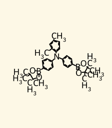 Cc1ccc(N(c2ccc(B3OC(C)(C)C(C)(C)O3)cc2)c2ccc(B3OC(C)(C)C(C)(C)O3)cc2)c(C)c1